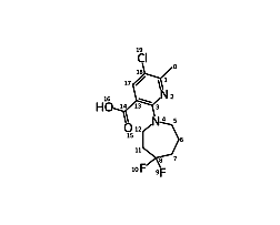 Cc1nc(N2CCCC(F)(F)CC2)c(C(=O)O)cc1Cl